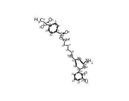 CS(=O)(=O)c1ccc(S(=O)ONCCCCNC2=CC(c3cccc(Cl)c3Cl)NC(N)=N2)cc1